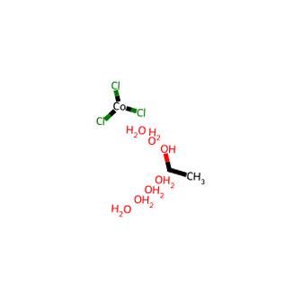 CCO.O.O.O.O.O.O.[Cl][Co]([Cl])[Cl]